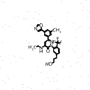 CCNc1cc(-c2cc(C)cc(-c3cnco3)c2)nn(-c2cc(CCCO)ccc2C(F)(F)F)c1=O